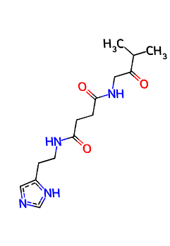 CC(C)C(=O)CNC(=O)CCC(=O)NCCc1cnc[nH]1